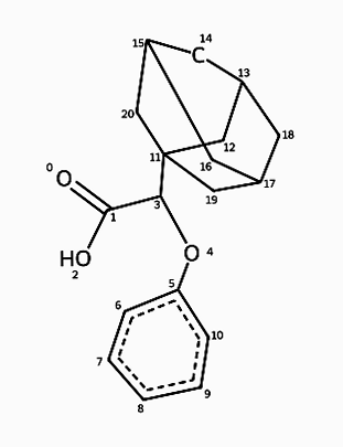 O=C(O)C(Oc1ccccc1)C12CC3CC(CC(C3)C1)C2